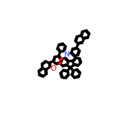 c1ccc(C2(c3ccccc3)c3ccccc3-c3c(N(c4cccc(-c5ccc6ccccc6c5)c4)c4ccccc4-c4ccc5oc6c7ccccc7ccc6c5c4)cccc32)cc1